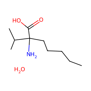 CCCCCC(N)(C(=O)O)C(C)C.O